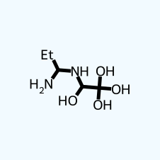 CCC(N)NC(O)C(O)(O)O